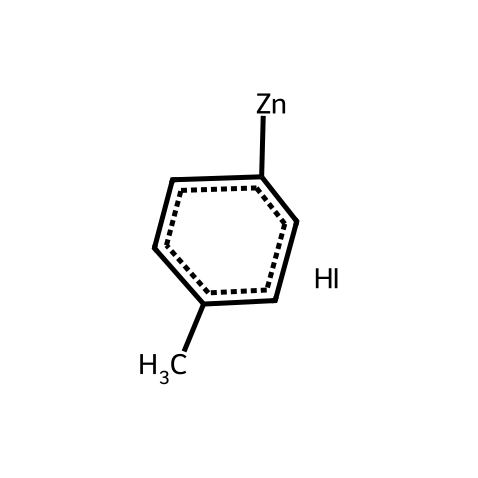 Cc1cc[c]([Zn])cc1.I